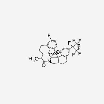 CC(C(=O)N1CC2CCc3cc(C(F)(C(F)(F)F)C(F)(F)F)ccc3C2(S(=O)(=O)c2ccc(F)cc2)C1)C1CCCCC1